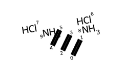 C=C.C=C.C=C.Cl.Cl.N.N